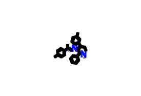 C/C(=C\n1c2c(c3cc(C)ccc31)CCN(C)C2c1ccccc1)c1ccc(C)cc1